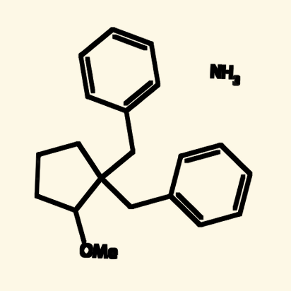 COC1CCCC1(Cc1ccccc1)Cc1ccccc1.N